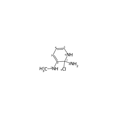 CNC1=CC=CNC1(N)Cl